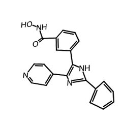 O=C(NO)c1cccc(-c2[nH]c(-c3ccccc3)nc2-c2ccncc2)c1